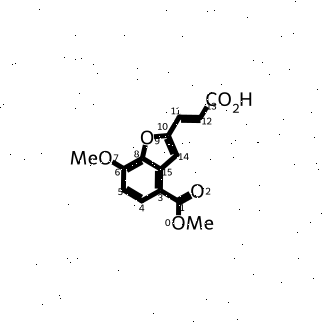 COC(=O)c1ccc(OC)c2oc(C=CC(=O)O)cc12